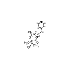 CC(C)(C)OC(=O)N1C[C@H](Cc2ccncc2)C[C@H]1C(=O)O